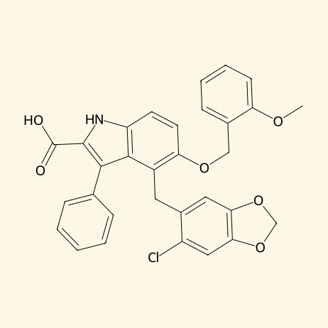 COc1ccccc1COc1ccc2[nH]c(C(=O)O)c(-c3ccccc3)c2c1Cc1cc2c(cc1Cl)OCO2